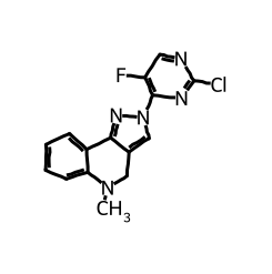 CN1Cc2cn(-c3nc(Cl)ncc3F)nc2-c2ccccc21